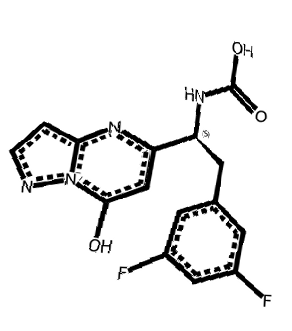 O=C(O)N[C@@H](Cc1cc(F)cc(F)c1)c1cc(O)n2nccc2n1